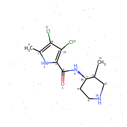 Cc1[nH]c(C(=O)N[C@@H]2CCNCC2C)c(Cl)c1Cl